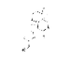 C=C1CCC2C(C)(C)CCC[C@]2(C)[C@H]1CC/C(C)=C/O